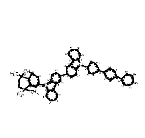 CC1(C)CCC(C)(C)c2cc(-n3c4ccccc4c4cc(-c5ccc6c(c5)c5ccccc5n6-c5ccc(-c6ccc(-c7ccccc7)cc6)cc5)ccc43)ccc21